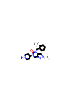 Cn1cc2c(n1)CN(C1CCNCC1)C(=O)N2Cc1ccccc1C(F)(F)F